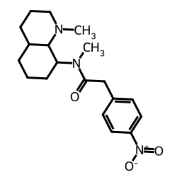 CN1CCCC2CCCC(N(C)C(=O)Cc3ccc([N+](=O)[O-])cc3)C21